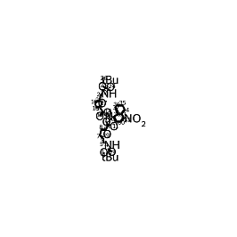 CC(C)(C)OC(=O)NCc1ccc(C(=O)ON(OC(=O)c2ccc(CNC(=O)OC(C)(C)C)o2)c2ccc([N+](=O)[O-])c3ccccc23)o1